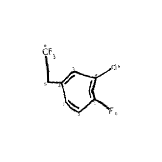 Fc1ccc(CC(F)(F)F)cc1Cl